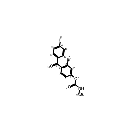 CC(C)(C)NC(=O)Oc1ccc(C(=O)c2ccc(F)cc2)c(Br)c1